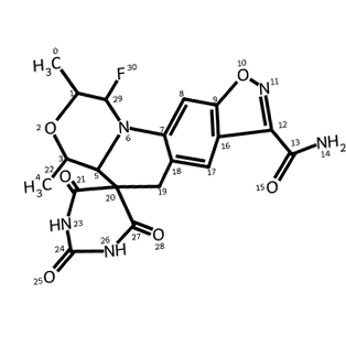 CC1OC(C)C2N(c3cc4onc(C(N)=O)c4cc3CC23C(=O)NC(=O)NC3=O)C1F